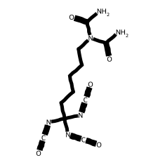 NC(=O)N(CCCCCC(N=C=O)(N=C=O)N=C=O)C(N)=O